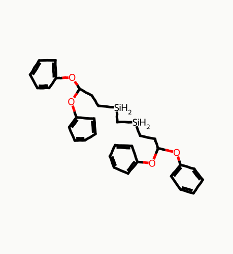 c1ccc(OC(CC[SiH2]C[SiH2]CCC(Oc2ccccc2)Oc2ccccc2)Oc2ccccc2)cc1